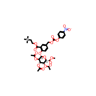 COC(=O)[C@H]1O[C@@H](Oc2ccc(COC(=O)Oc3ccc([N+](=O)[O-])cc3)cc2C(=O)OCC[Si](C)(C)C)C(OC(C)=O)[C@@H](OC(C)=O)[C@@H]1OC(C)=O